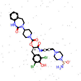 N[S+]([O-])N1CCN(C=C=C=NC(=O)[C@@H](Cc2cc(Br)c(O)c(Br)c2)OC(=O)N2CCC(N3CCc4ccccc4NC3=O)CC2)CC1